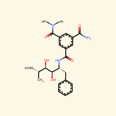 CCCN(CCC)C(=O)c1cc(C(N)=O)cc(C(=O)N[C@H](Cc2ccccc2)[C@@H](O)[C@H](O)[C@H](C)NC(C)=O)c1